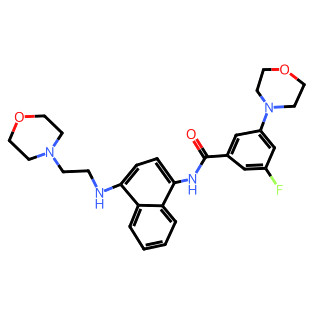 O=C(Nc1ccc(NCCN2CCOCC2)c2ccccc12)c1cc(F)cc(N2CCOCC2)c1